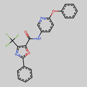 O=C(Nc1ccc(Oc2ccccc2)nc1)c1oc(-c2ccccc2)nc1C(F)(F)F